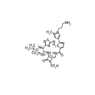 C[n+]1cc(-c2ncc(C(=O)NC[C@@H]3[C@H](NC(O)/C(=N\OC(C)(C)C(=O)O)c4nsc(N)n4)C(=O)N3S(=O)(=O)O)s2)cn1CCCN